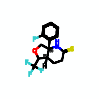 Fc1ccccc1[C@]12COC(C(F)(F)F)[C@H]1CCC(=S)N2